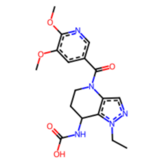 CCn1ncc2c1C(NC(=O)O)CCN2C(=O)c1cnc(OC)c(OC)c1